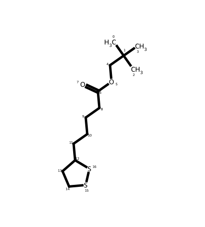 CC(C)(C)COC(=O)CCCCC1CCSS1